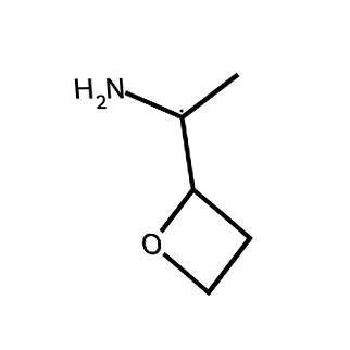 C[C](N)C1CCO1